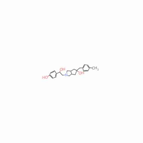 Cc1ccc(CC2(O)CC3CN(CC(O)c4ccc(O)cc4)CC3C2)cc1